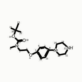 CN(CCOc1ccc(N2CCNCC2)cc1)C(=O)OC(C)(C)C